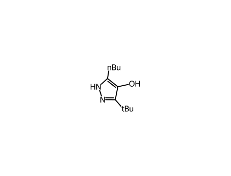 CCCCc1[nH]nc(C(C)(C)C)c1O